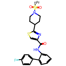 CCCS(=O)(=O)N1CCC(c2nc(C(=O)Nc3ccccc3-c3ccc(F)cc3)cs2)CC1